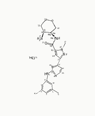 Cc1cc(C)cc(Nc2nccc(-c3cc(C(=O)N[C@@H]4CCCC[C@@H]4N)n(C)n3)n2)c1.Cl